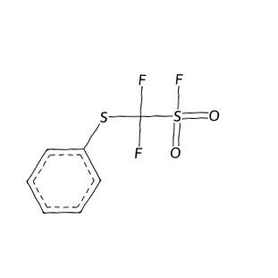 O=S(=O)(F)C(F)(F)Sc1ccccc1